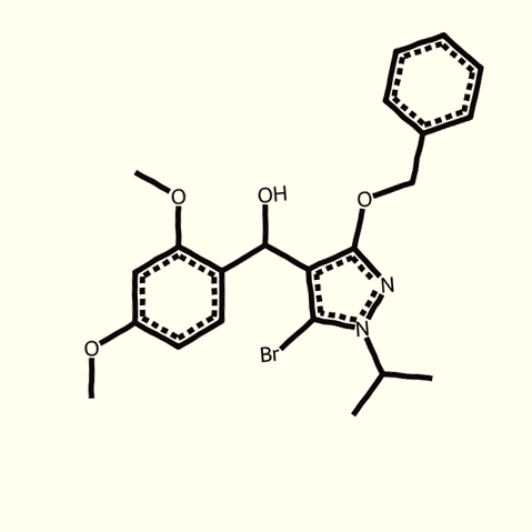 COc1ccc(C(O)c2c(OCc3ccccc3)nn(C(C)C)c2Br)c(OC)c1